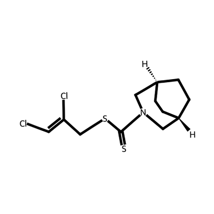 S=C(SCC(Cl)=CCl)N1C[C@H]2CC[C@@H](CC2)C1